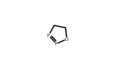 C1CP=PO1